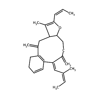 C=C1CC2C(C)=C(/C=C\C)OC2CCC(=C)/C(=C\C(C)=C/C)C2=C1CCC=C2